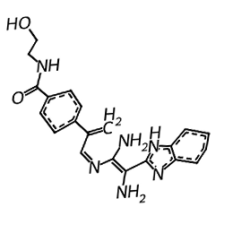 C=C(/C=N\C(N)=C(/N)c1nc2ccccc2[nH]1)c1ccc(C(=O)NCCO)cc1